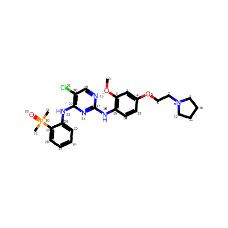 COc1cc(OCCN2CCCC2)ccc1Nc1ncc(Cl)c(Nc2ccccc2P(C)(C)=O)n1